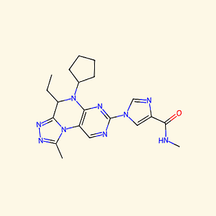 CCC1c2nnc(C)n2-c2cnc(-n3cnc(C(=O)NC)c3)nc2N1C1CCCC1